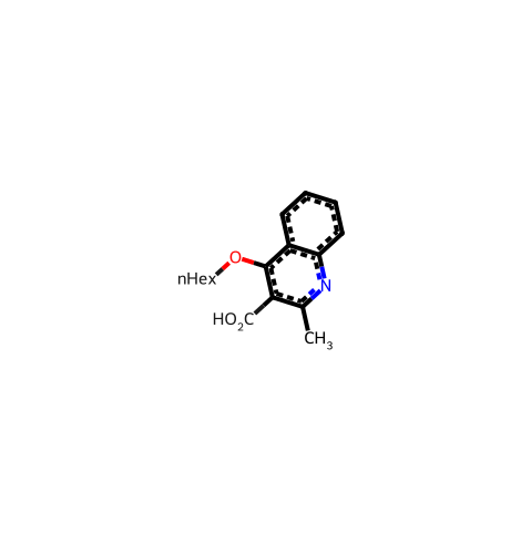 CCCCCCOc1c(C(=O)O)c(C)nc2ccccc12